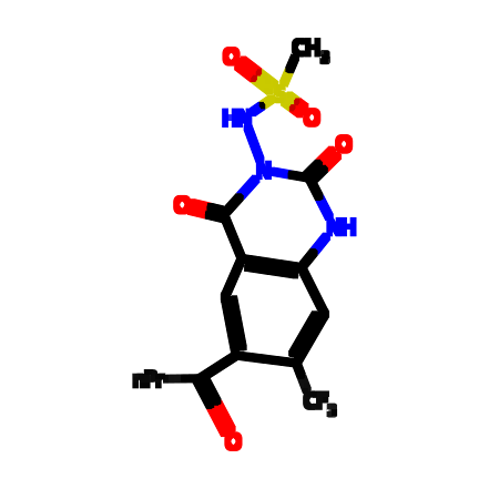 CCCC(=O)c1cc2c(=O)n(NS(C)(=O)=O)c(=O)[nH]c2cc1C(F)(F)F